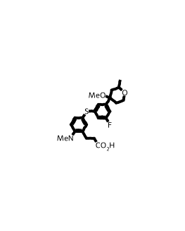 CNc1ccc(Sc2cc(F)cc(C3(OC)CCOC(C)C3)c2)cc1CCC(=O)O